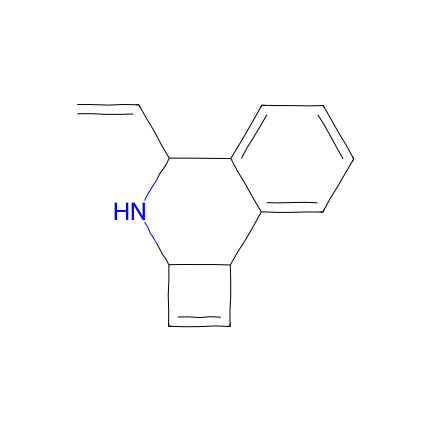 C=CC1NC2C=CC2c2ccccc21